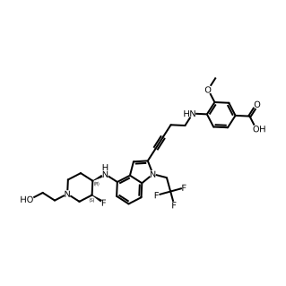 COc1cc(C(=O)O)ccc1NCCC#Cc1cc2c(N[C@@H]3CCN(CCO)C[C@@H]3F)cccc2n1CC(F)(F)F